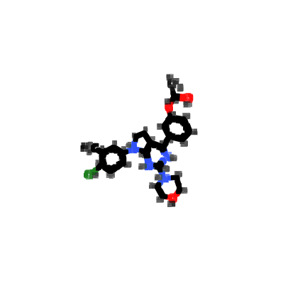 Cc1cc(N2CCc3c(-c4cccc(OC(=O)C(F)(F)F)c4)nc(N4CCOCC4)nc32)ccc1Cl